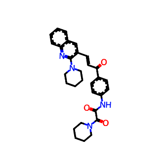 O=C(Nc1ccc(C(=O)C=Cc2cc3ccccc3nc2N2CCCCC2)cc1)C(=O)N1CCCCC1